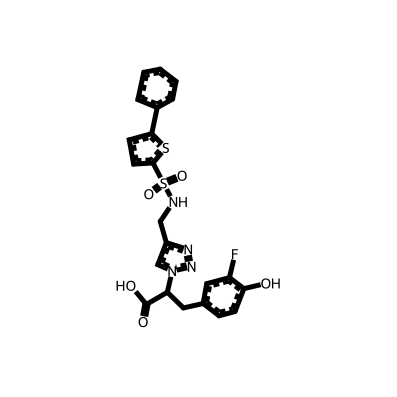 O=C(O)C(Cc1ccc(O)c(F)c1)n1cc(CNS(=O)(=O)c2ccc(-c3ccccc3)s2)nn1